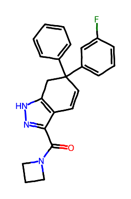 O=C(c1n[nH]c2c1C=CC(c1ccccc1)(c1cccc(F)c1)C2)N1CCC1